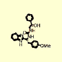 COc1ccc(C[C@@H](NC(=O)NC[C@@H](O)c2ccccc2)c2nc3ccccc3[nH]2)cc1